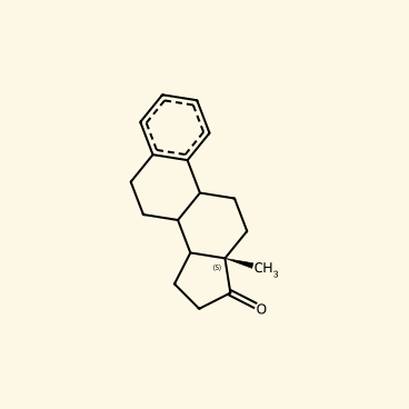 C[C@]12CCC3c4ccccc4CCC3C1CCC2=O